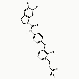 CC(=O)OC[n+]1cccc(Oc2ccc(NC(=O)N3CCc4cc(Cl)c(Cl)cc43)cn2)c1C